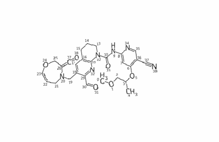 COCC(C)Oc1cc(NC(=O)N2CCCc3cc(CN4CC=COCC4=C=O)c(C=O)nc32)ncc1C#N